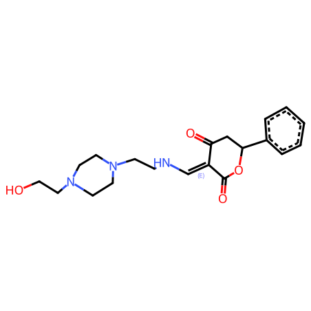 O=C1CC(c2ccccc2)OC(=O)/C1=C/NCCN1CCN(CCO)CC1